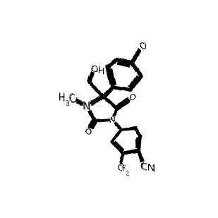 CN1C(=O)N(C2C=C(C(F)(F)F)C(C#N)=CC2)C(=O)C1(CO)c1ccc(Cl)cc1